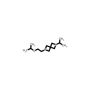 CC(C)OCCN1CC2(C1)CN(C(C)C)C2